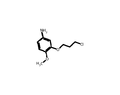 COc1ccc(N)cc1OCCCCl